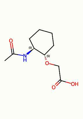 CC(=O)N[C@H]1CCCC[C@@H]1OCC(=O)O